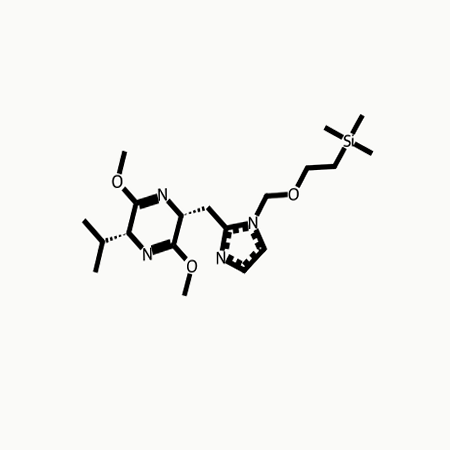 COC1=N[C@H](C(C)C)C(OC)=N[C@@H]1Cc1nccn1COCC[Si](C)(C)C